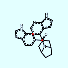 O=C(c1ccc2cc[nH]c2c1)N1C2CCC1CN(c1ncnc3[nH]ccc13)C2